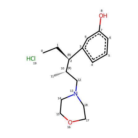 CC[C@@H](c1cccc(O)c1)[C@@H](C)CN1CCOCC1.Cl